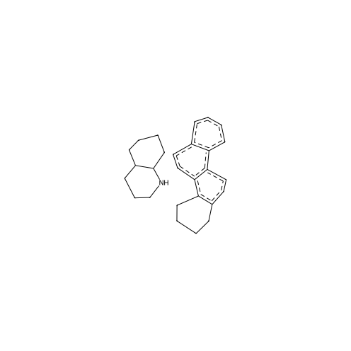 C1CCC2NCCCC2C1.c1ccc2c(c1)ccc1c3c(ccc12)CCCC3